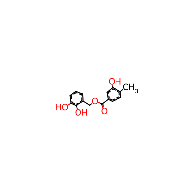 Cc1ccc(C(=O)OCc2cccc(O)c2O)cc1O